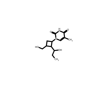 CCC(O)C1C(CO)CC1n1cc(C)c(=O)[nH]c1=O